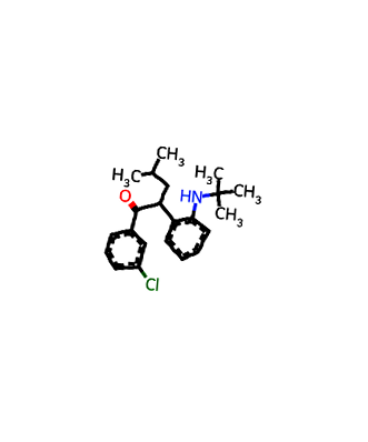 CC(C)CC(C(=O)c1cccc(Cl)c1)c1ccccc1NC(C)(C)C